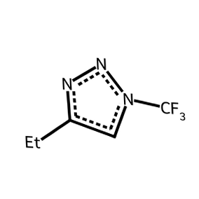 CCc1cn(C(F)(F)F)nn1